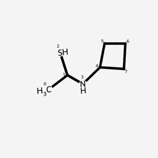 CC(S)NC1CCC1